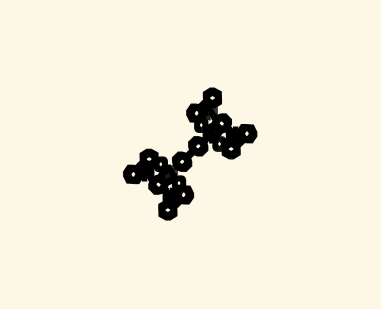 O=C1c2c(-n3c4ccccc4c4ccccc43)ccc(-n3c4ccccc4c4ccccc43)c2C(=O)N1c1ccc(-c2ccc(N3C(=O)c4c(-n5c6ccccc6c6ccccc65)ccc(-n5c6ccccc6c6ccccc65)c4C3=O)cc2)cc1